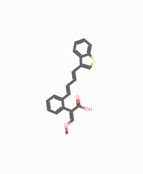 CO/C=C(/C(=O)O)c1ccccc1/C=C/C=C/c1csc2ccccc12